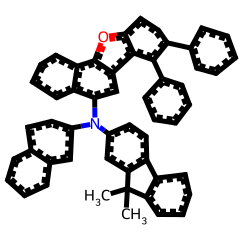 CC1(C)c2ccccc2-c2ccc(N(c3ccc4ccccc4c3)c3cc4c(oc5ccc(-c6ccccc6)c(-c6ccccc6)c54)c4ccccc34)cc21